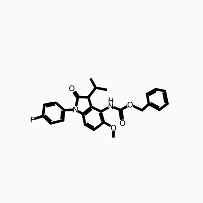 COc1ccc2c(c1NC(=O)OCc1ccccc1)C(C(C)C)C(=O)N2c1ccc(F)cc1